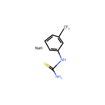 NC(=S)Nc1cccc(C(F)(F)F)c1.[NaH]